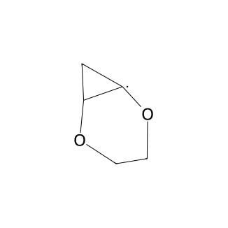 C1COC2C[C]2O1